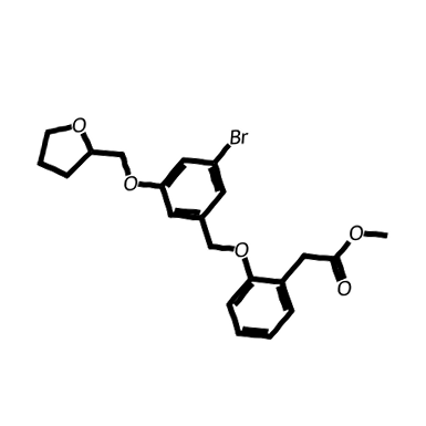 COC(=O)Cc1ccccc1OCc1cc(Br)cc(OCC2CCCO2)c1